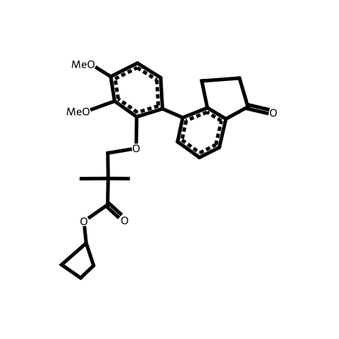 COc1ccc(-c2cccc3c2CCC3=O)c(OCC(C)(C)C(=O)OC2CCC2)c1OC